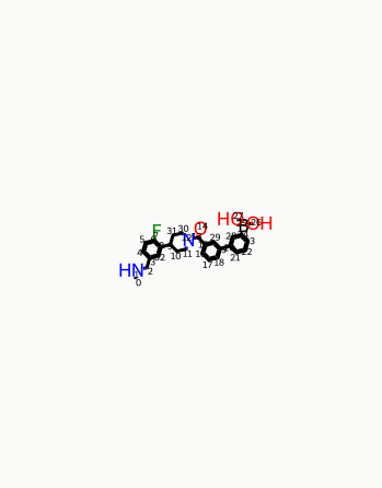 CNCc1ccc(F)c(C2CCN(C(=O)c3cccc(-c4cccc(B(O)O)c4)c3)CC2)c1